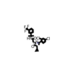 C/C(=N\N(CC(=O)NC(C)(C)c1cccc(C(F)(F)F)c1)C(=O)CC1CC1)c1ccc(Cl)cc1Cl